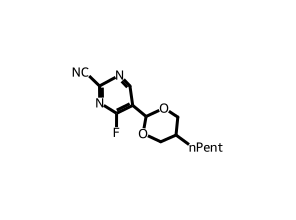 CCCCCC1COC(c2cnc(C#N)nc2F)OC1